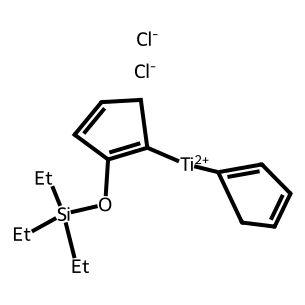 CC[Si](CC)(CC)OC1=[C]([Ti+2][C]2=CC=CC2)CC=C1.[Cl-].[Cl-]